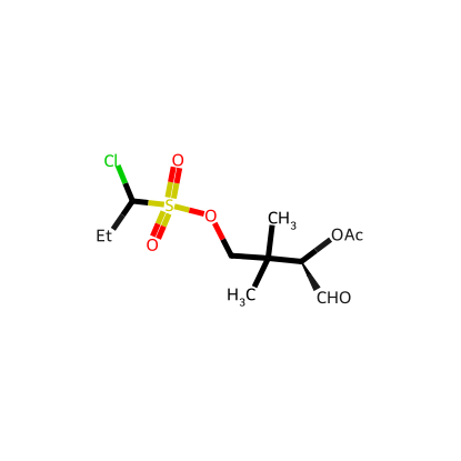 CCC(Cl)S(=O)(=O)OCC(C)(C)[C@H](C=O)OC(C)=O